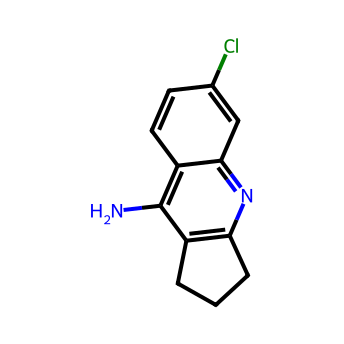 Nc1c2c(nc3cc(Cl)ccc13)CCC2